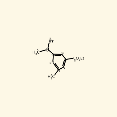 CCOC(=O)c1cc(C)nc(N(C)C(C)C)c1